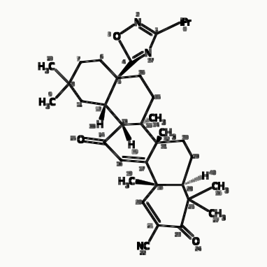 CC(C)c1noc([C@]23CCC(C)(C)C[C@H]2[C@H]2C(=O)C=C4[C@@]5(C)C=C(C#N)C(=O)C(C)(C)[C@@H]5CC[C@@]4(C)[C@]2(C)CC3)n1